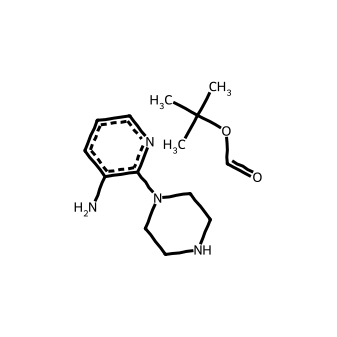 CC(C)(C)OC=O.Nc1cccnc1N1CCNCC1